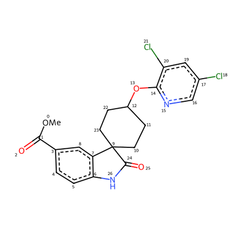 COC(=O)c1ccc2c(c1)C1(CCC(Oc3ncc(Cl)cc3Cl)CC1)C(=O)N2